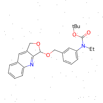 CCN(C(=O)OC(C)(C)C)c1cccc(COC2OCc3cc4ccccc4nc32)c1